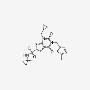 Cc1ncc(Cn2c(=O)c3cc(S(=O)(=O)NC4(C)CC4)sc3n(CC3CC3)c2=O)s1